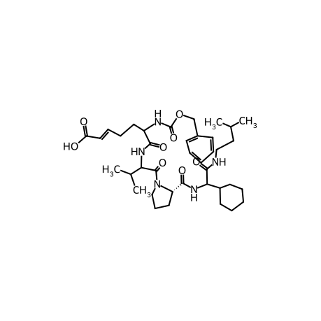 CC(C)CCNC(=O)C(NC(=O)[C@@H]1CCCN1C(=O)C(NC(=O)C(CCC=CC(=O)O)NC(=O)OCc1ccccc1)C(C)C)C1CCCCC1